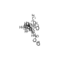 CC(C)C[C@H](NC(=O)C1(Cc2ccccc2)CC(CNC(=O)c2cccc(-c3ccccn3)c2)=NO1)B1O[C@@H]2C[C@@H]3C[C@@H](C3(C)C)[C@]2(C)O1